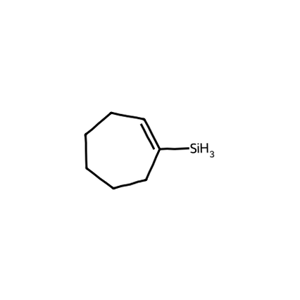 [SiH3]C1=CCCCCC1